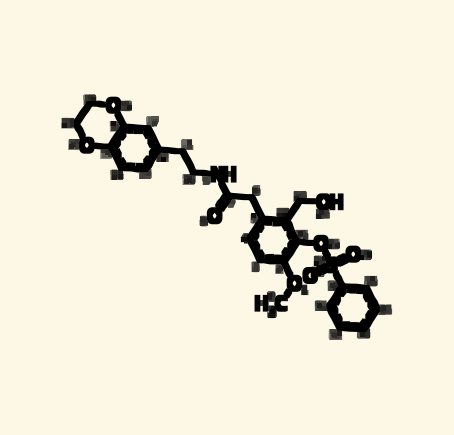 COc1ccc(CC(=O)NCCc2ccc3c(c2)OCCO3)c(CO)c1OS(=O)(=O)c1ccccc1